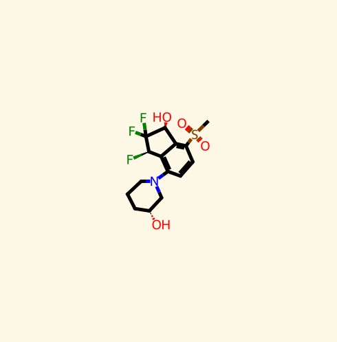 CS(=O)(=O)c1ccc(N2CCC[C@@H](O)C2)c2c1[C@H](O)C(F)(F)[C@@H]2F